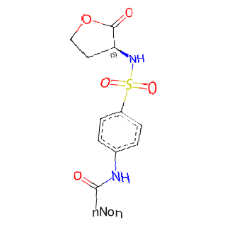 CCCCCCCCCC(=O)Nc1ccc(S(=O)(=O)N[C@H]2CCOC2=O)cc1